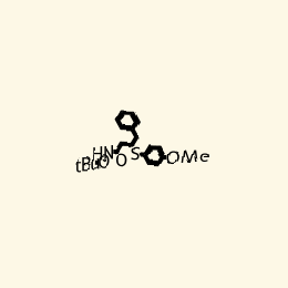 COc1ccc(SC(CC(=O)NOC(C)(C)C)Cc2ccccc2)cc1